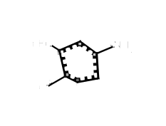 CCCCc1cc(N)ccc1Cl